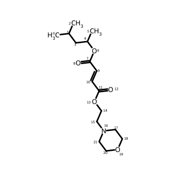 CC(C)CC(C)OC(=O)/C=C/C(=O)OCCN1CCOCC1